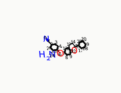 N#Cc1ccc(Oc2ccc3c(c2)CCC(c2ccccc2)O3)c(N)c1